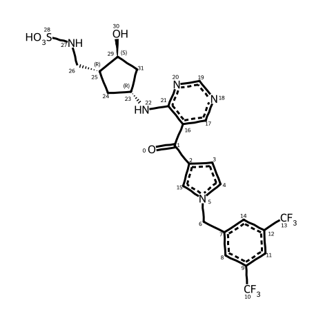 O=C(c1ccn(Cc2cc(C(F)(F)F)cc(C(F)(F)F)c2)c1)c1cncnc1N[C@@H]1C[C@H](CNS(=O)(=O)O)[C@@H](O)C1